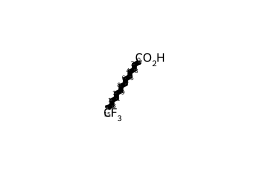 O=C(O)CCCCCCCCCCCCCCC(F)(F)F